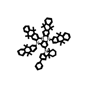 CC1(C)c2ccccc2C(C)(C)c2cc(N3c4cc5c(cc4B4c6cc7c(cc6N(c6ccc8c(c6)C(C)(C)c6ccccc6C8(C)C)c6cc(N8c9ccc(-c%10ccccc%10)cc9C9(C)CCCCC89C)cc3c64)C(C)(C)c3ccccc3C7(C)C)C(C)(C)c3ccccc3C5(C)C)ccc21